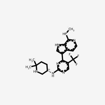 CPc1nccc2c(-c3nc(N[C@H]4CCC(C)(C)NC4)ncc3C(F)(F)F)c[nH]c12